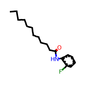 CCCCCCCCCCCC(=O)Nc1ccccc1F